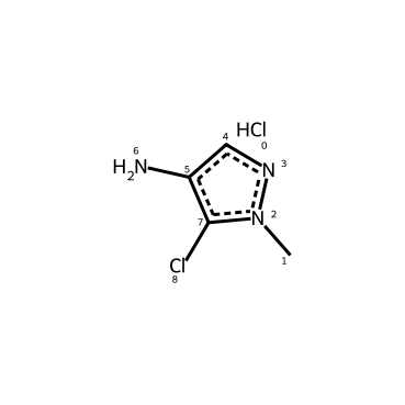 Cl.Cn1ncc(N)c1Cl